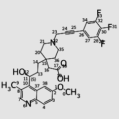 COc1ccc2ncc(C)c([C@@H](O)CCC3(CC(=O)O)CCN(CC#Cc4cc(F)c(F)c(F)c4)CC3)c2c1